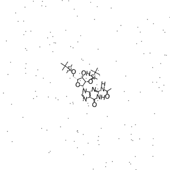 CC(=O)Nc1nc2c(ncn2[C@@H]2O[C@H](CO[Si](C)(C)C(C)(C)C)[C@@H](O)[C@H]2O[Si](C)(C)C(C)(C)C)c(=O)[nH]1